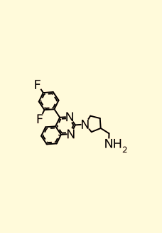 NCC1CCN(c2nc(-c3ccc(F)cc3F)c3ccccc3n2)C1